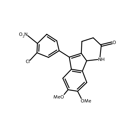 COc1cc2c(cc1OC)C1NC(=O)CCC1=C2c1ccc([N+](=O)[O-])c(Cl)c1